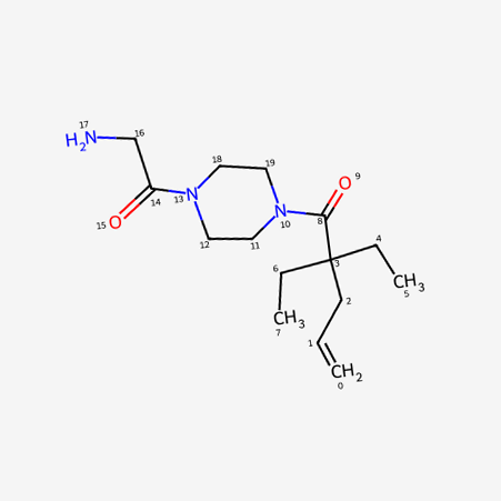 C=CCC(CC)(CC)C(=O)N1CCN(C(=O)CN)CC1